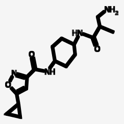 CC(CN)C(=O)NC1CCC(NC(=O)c2cc(C3CC3)on2)CC1